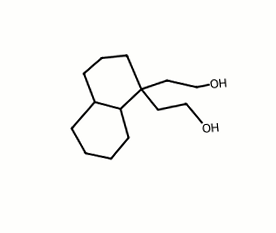 OCCC1(CCO)CCCC2CCCCC21